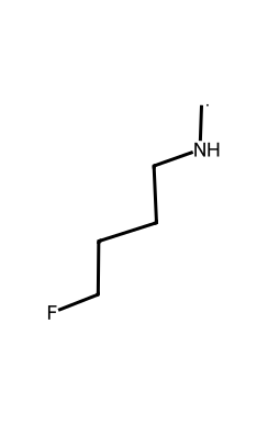 [CH2]NCCCCF